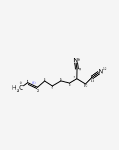 C/C=C/CCCCC(C#N)CC#N